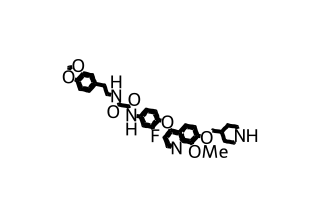 COc1c(OCC2CCNCC2)ccc2c(Oc3ccc(NC(=O)C(=O)NCCc4ccc5c(c4)OCO5)cc3F)ccnc12